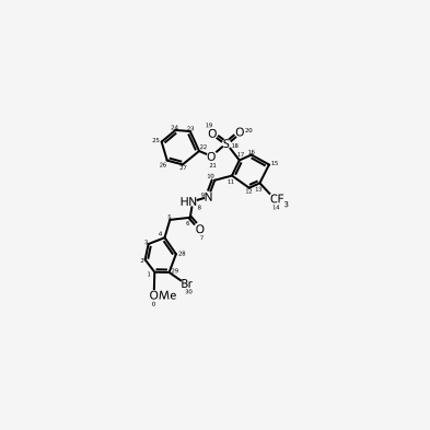 COc1ccc(CC(=O)NN=Cc2cc(C(F)(F)F)ccc2S(=O)(=O)Oc2ccccc2)cc1Br